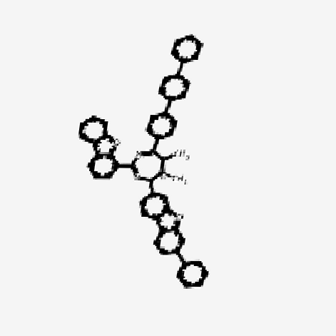 CC1C(c2ccc(-c3ccc(-c4ccccc4)cc3)cc2)=NC(c2cccc3c2oc2ccccc23)=NC(c2ccc3c(c2)oc2cc(-c4ccccc4)ccc23)[C@@H]1C